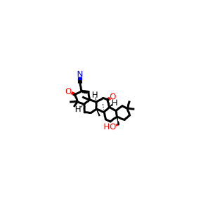 CC1(C)CC[C@]2(CO)CC[C@]3(C)[C@H](C(=O)C[C@@H]4C5(C)C=C(C#N)C(=O)C(C)(C)[C@@H]5CC[C@]43C)C2C1